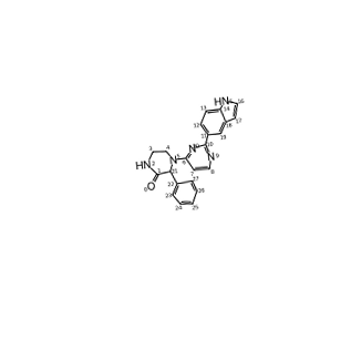 O=C1NCCN(c2ccnc(-c3ccc4[nH]ccc4c3)n2)C1c1ccccc1